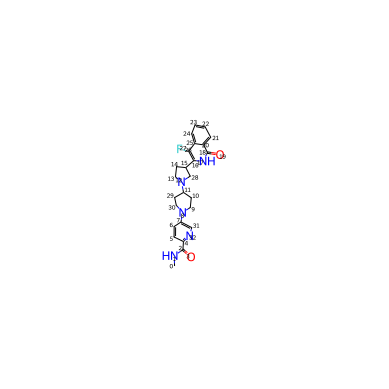 CNC(=O)c1ccc(N2CCC(N3CCC(c4[nH]c(=O)c5ccccc5c4F)C3)CC2)cn1